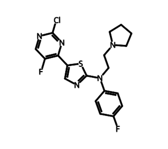 Fc1ccc(N(CCN2CCCC2)c2ncc(-c3nc(Cl)ncc3F)s2)cc1